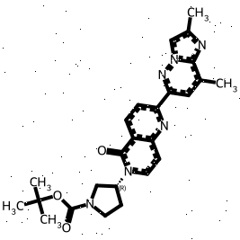 Cc1cn2nc(-c3ccc4c(=O)n([C@@H]5CCN(C(=O)OC(C)(C)C)C5)ccc4n3)cc(C)c2n1